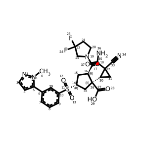 Cn1nccc1-c1cccc(S(=O)(=O)[C@@H]2C[C@@H](C(=O)N3CCC(F)(F)C3)[C@](C(=O)O)(C3CC3(C#N)C(N)=O)C2)c1